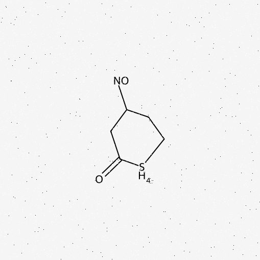 O=NC1CC[SH4]C(=O)C1